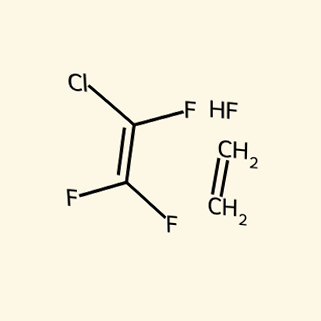 C=C.F.FC(F)=C(F)Cl